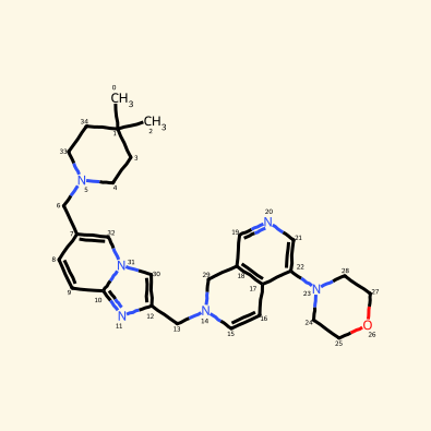 CC1(C)CCN(Cc2ccc3nc(CN4C=Cc5c(cncc5N5CCOCC5)C4)cn3c2)CC1